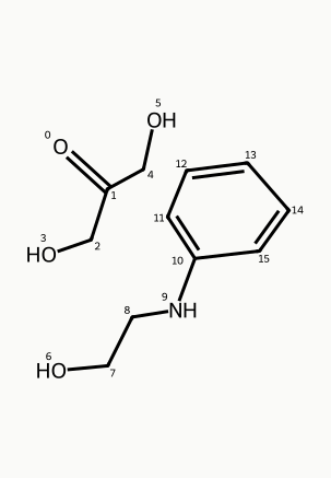 O=C(CO)CO.OCCNc1ccccc1